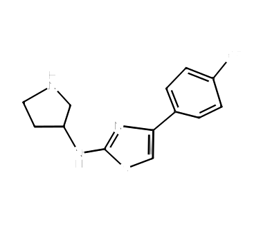 FC(F)(F)c1ccc(-c2csc(NC3CCNC3)n2)cc1